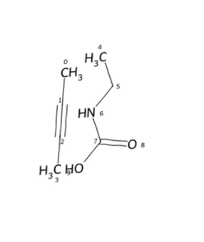 CC#CC.CCNC(=O)O